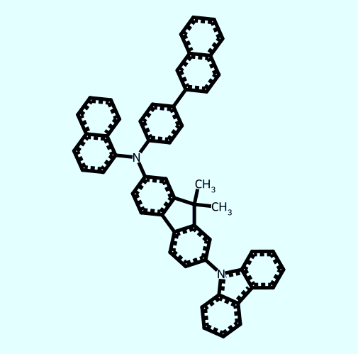 CC1(C)c2cc(N(c3ccc(-c4ccc5ccccc5c4)cc3)c3cccc4ccccc34)ccc2-c2ccc(-n3c4ccccc4c4ccccc43)cc21